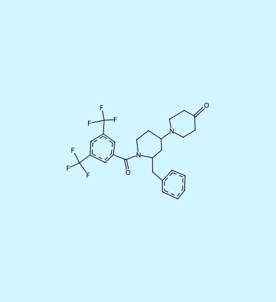 O=C1CCN(C2CCN(C(=O)c3cc(C(F)(F)F)cc(C(F)(F)F)c3)C(Cc3ccccc3)C2)CC1